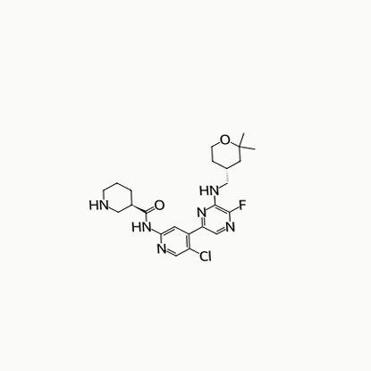 CC1(C)C[C@H](CNc2nc(-c3cc(NC(=O)[C@@H]4CCCNC4)ncc3Cl)cnc2F)CCO1